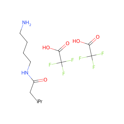 CC(C)CC(=O)NCCCCN.O=C(O)C(F)(F)F.O=C(O)C(F)(F)F